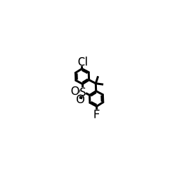 CC1(C)c2cc(Cl)ccc2S(=O)(=O)c2cc(F)ccc21